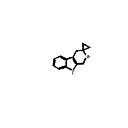 c1ccc2c3c([nH]c2c1)CNC1(CC1)C3